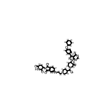 Nc1ncnc2c1c(-c1ccc(Oc3ccccc3)cc1)nn2C1CCN(C(=O)C2CCN(CCNc3ccc4c(c3)C(=O)N(C3CCC(=O)NC3=O)C4=O)CC2)CC1(F)F